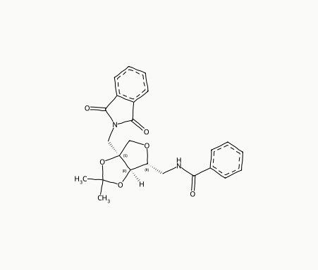 CC1(C)O[C@@H]2[C@@H](CNC(=O)c3ccccc3)OC[C@]2(CN2C(=O)c3ccccc3C2=O)O1